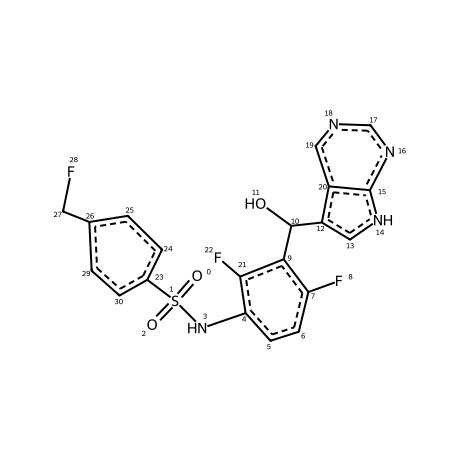 O=S(=O)(Nc1ccc(F)c(C(O)c2c[nH]c3ncncc23)c1F)c1ccc(CF)cc1